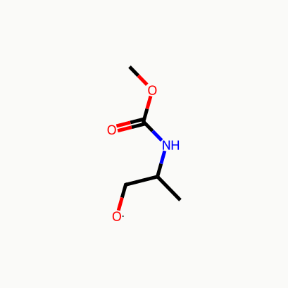 COC(=O)NC(C)C[O]